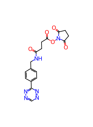 O=C(CCC(=O)ON1C(=O)CCC1=O)NCc1ccc(-c2nncnn2)cc1